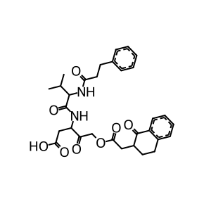 CC(C)C(NC(=O)CCc1ccccc1)C(=O)NC(CC(=O)O)C(=O)COC(=O)CC1CCc2ccccc2C1=O